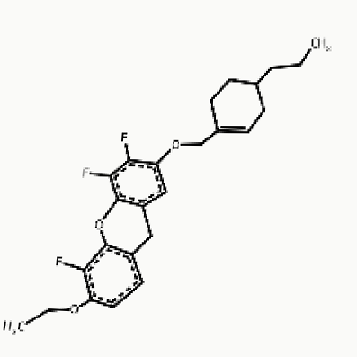 CCCC1CC=C(COc2cc3c(c(F)c2F)Oc2c(ccc(OCC)c2F)C3)CC1